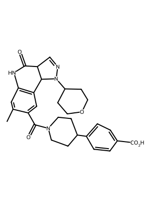 Cc1cc2c(cc1C(=O)N1CCC(c3ccc(C(=O)O)cc3)CC1)C1C(C=NN1C1CCOCC1)C(=O)N2